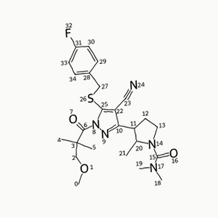 COCC(C)(C)C(=O)n1nc(C2CCN(C(=O)N(C)C)C2C)c(C#N)c1SCc1ccc(F)cc1